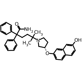 CC(C)(CCC(C(N)=O)(c1ccccc1)c1ccccc1)N1CC[C@H](Oc2ccc3ccc(O)cc3c2)C1